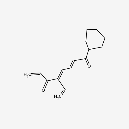 C=CC(=O)/C(C=C)=C/C=C/C(=O)C1CCCCC1